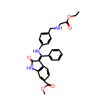 CCOC(=O)CNCc1ccc(N/C(=C2\C(=O)Nc3cc(C(=O)OC)ccc32)c2ccccc2)cc1